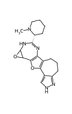 CN1CCCC[C@@H]1C1=Nc2c(oc3c2CCCc2n[nH]cc2-3)C2OC2N1